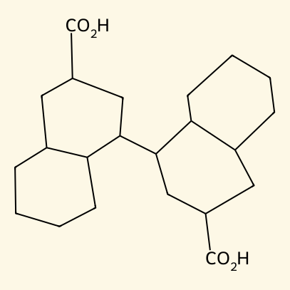 O=C(O)C1CC2CCCCC2C(C2CC(C(=O)O)CC3CCCCC32)C1